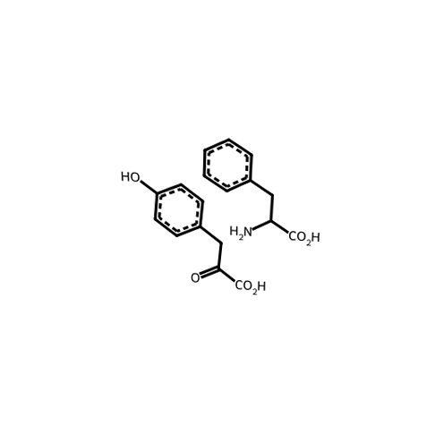 NC(Cc1ccccc1)C(=O)O.O=C(O)C(=O)Cc1ccc(O)cc1